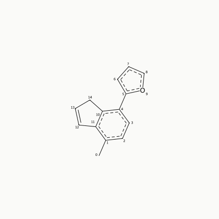 Cc1ccc(-c2ccco2)c2c1C=CC2